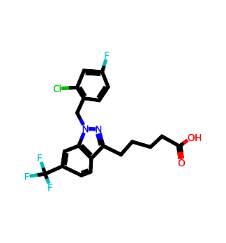 O=C(O)CCCCc1nn(Cc2ccc(F)cc2Cl)c2cc(C(F)(F)F)ccc12